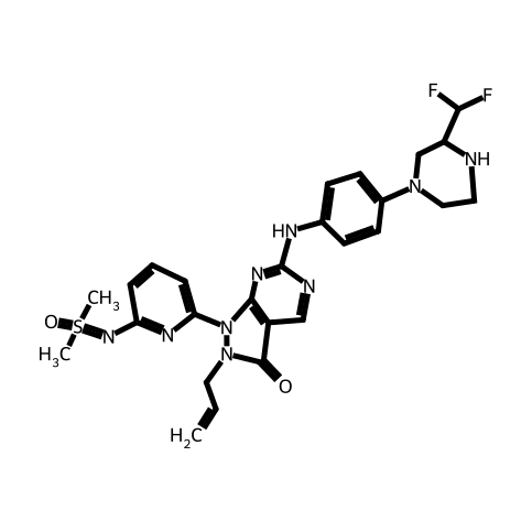 C=CCn1c(=O)c2cnc(Nc3ccc(N4CCNC(C(F)F)C4)cc3)nc2n1-c1cccc(N=S(C)(C)=O)n1